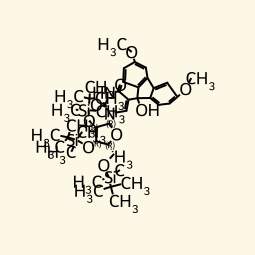 COc1ccc2c(c1)-c1cc(OC)ccc1C2(O)c1cn([C@@H]2O[C@H](CO[Si](C)(C)C(C)(C)C)[C@@H](O[Si](C)(C)C(C)(C)C)[C@H]2O[Si](C)(C)C(C)(C)C)c(=O)[nH]c1=O